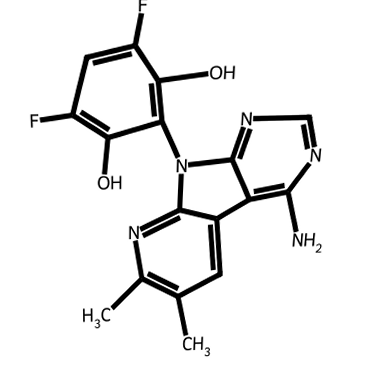 Cc1cc2c3c(N)ncnc3n(-c3c(O)c(F)cc(F)c3O)c2nc1C